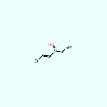 CCC=C[SiH](O)CCCC